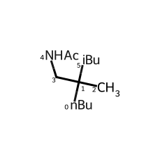 CCCCC(C)(CNC(C)=O)C(C)CC